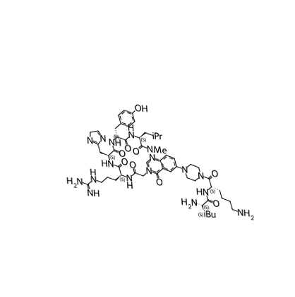 CC[C@H](C)[C@H](N)C(=O)N[C@@H](CCCCN)C(=O)N1CCN(c2ccc3ncn(CC(=O)N[C@@H](CCCNC(=N)N)C(=O)N[C@@H](CC4=NCC=N4)C(=O)N[C@H](Cc4ccc(O)cc4)C(=O)N[C@@H](CC(C)C)C(=O)NC)c(=O)c3c2)CC1